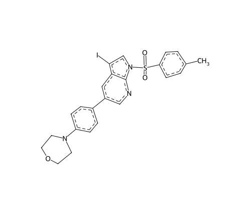 Cc1ccc(S(=O)(=O)n2cc(I)c3cc(-c4ccc(N5CCOCC5)cc4)cnc32)cc1